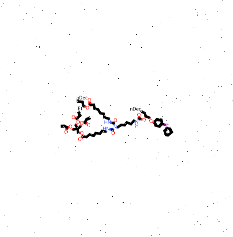 C=CC(=O)OCC(COC(=O)C=C)(COC(=O)C=C)COC(=O)CCCCCCCNC(=O)N(CCCCCCNC(=O)OC(CCCCCCCCCCCC)COc1ccc([I+]c2ccccc2)cc1)C(=O)NCCCCCCCC(=O)OC(CC)CCCCCCCCCCCC